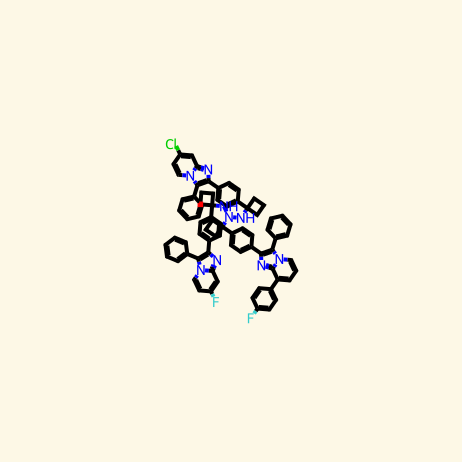 Fc1ccc(-c2cccn3c(-c4ccccc4)c(-c4ccc(C5(N(NC6(c7ccc(-c8nc9cc(F)ccn9c8-c8ccccc8)cc7)CCC6)NC6(c7ccc(-c8nc9cc(Cl)ccn9c8-c8ccccc8)cc7)CCC6)CCC5)cc4)nc23)cc1